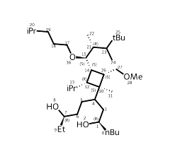 CCCC[C@@H](O)CC(CC[C@H](O)CC)[C@@]1(C)[C@H](C(C)C)[C@H]([C@@H](OCCCC(C)C)[C@H](C)C(C)C(C)(C)C)[C@@H]1COC